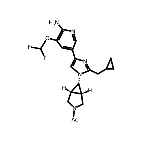 CC(=O)N1C[C@@H]2[C@H](C1)[C@@H]2n1cc(-c2cnc(N)c(OC(F)F)c2)nc1CC1CC1